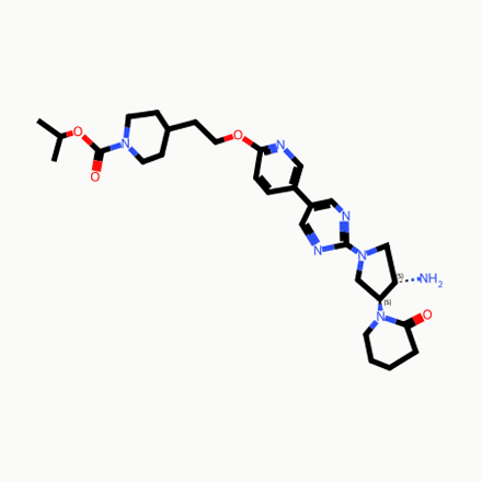 CC(C)OC(=O)N1CCC(CCOc2ccc(-c3cnc(N4C[C@H](N)[C@@H](N5CCCCC5=O)C4)nc3)cn2)CC1